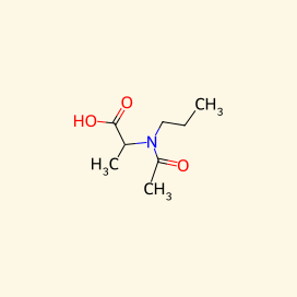 CCCN(C(C)=O)C(C)C(=O)O